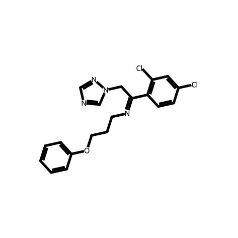 Clc1ccc(C(Cn2cncn2)=NCCCOc2ccccc2)c(Cl)c1